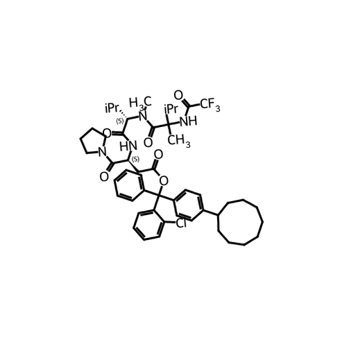 CC(C)[C@@H](C(=O)N[C@@H](CC(=O)OC(c1ccccc1)(c1ccc(C2CCCCCCCC2)cc1)c1ccccc1Cl)C(=O)N1CCCC1)N(C)C(=O)C(C)(NC(=O)C(F)(F)F)C(C)C